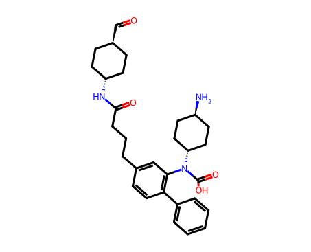 N[C@H]1CC[C@H](N(C(=O)O)c2cc(CCCC(=O)N[C@H]3CC[C@H](C=O)CC3)ccc2-c2ccccc2)CC1